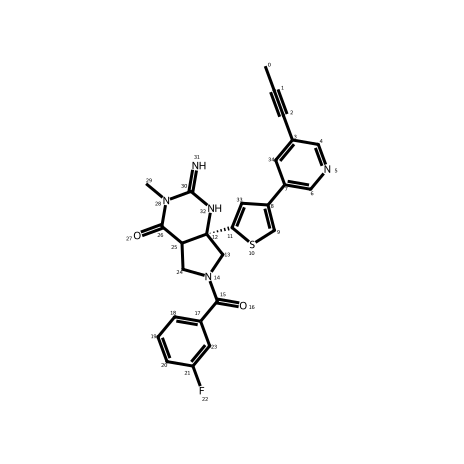 CC#Cc1cncc(-c2csc([C@]34CN(C(=O)c5cccc(F)c5)CC3C(=O)N(C)C(=N)N4)c2)c1